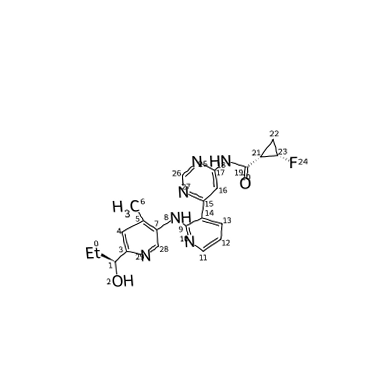 CC[C@H](O)c1cc(C)c(Nc2ncccc2-c2cc(NC(=O)[C@@H]3C[C@@H]3F)ncn2)cn1